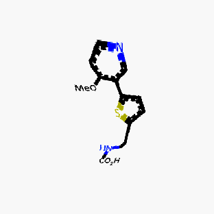 COc1ccncc1-c1ccc(CNC(=O)O)s1